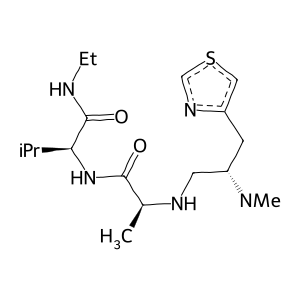 CCNC(=O)[C@@H](NC(=O)[C@H](C)NC[C@H](Cc1cscn1)NC)C(C)C